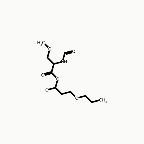 CCCOCCC(C)OC(=O)C(COC)NC=O